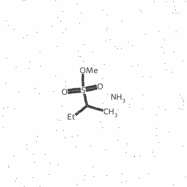 CCC(C)S(=O)(=O)OC.N